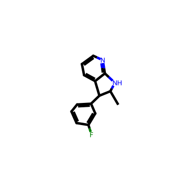 CC1Nc2ncccc2C1c1cccc(F)c1